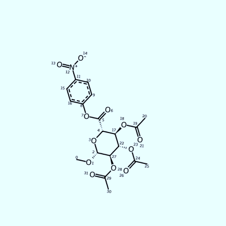 CO[C@@H]1O[C@H](C(=O)Oc2ccc([N+](=O)[O-])cc2)[C@@H](OC(C)=O)[C@H](OC(C)=O)[C@H]1OC(C)=O